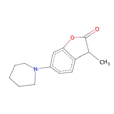 CC1C(=O)Oc2cc(N3CCCCC3)ccc21